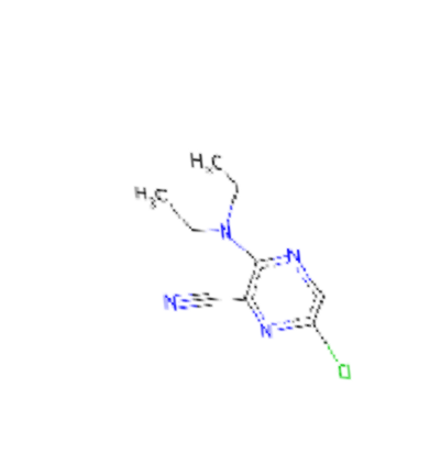 CCN(CC)c1ncc(Cl)nc1C#N